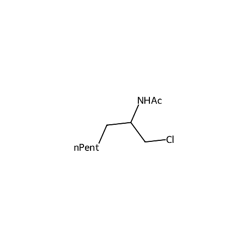 CCCCCCC(CCl)NC(C)=O